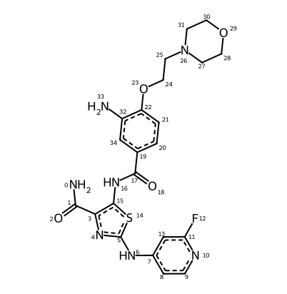 NC(=O)c1nc(Nc2ccnc(F)c2)sc1NC(=O)c1ccc(OCCN2CCOCC2)c(N)c1